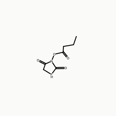 CCCC(=O)ON1C(=O)CPC1=O